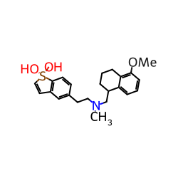 COc1cccc2c1CCCC2CN(C)CCc1ccc2c(c1)C=CS2(O)O